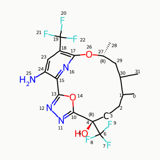 CC1CC[C@](O)(C(F)(F)F)c2nnc(o2)-c2nc(c(C(F)(F)F)cc2N)O[C@H](C)CC1C